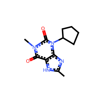 Cc1nc2c([nH]1)c(=O)n(C)c(=O)n2C1CCCC1